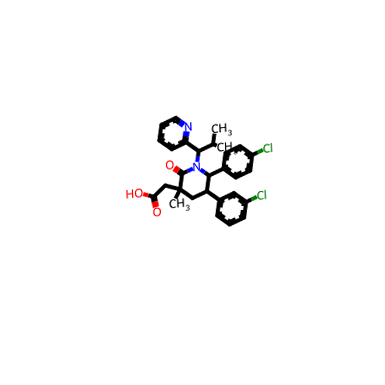 CC(C)C(c1ccccn1)N1C(=O)C(C)(CC(=O)O)CC(c2cccc(Cl)c2)C1c1ccc(Cl)cc1